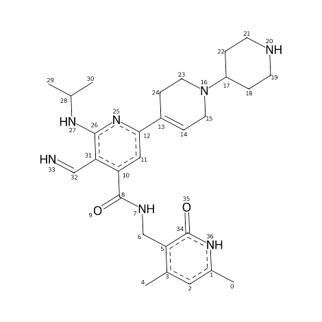 Cc1cc(C)c(CNC(=O)c2cc(C3=CCN(C4CCNCC4)CC3)nc(NC(C)C)c2C=N)c(=O)[nH]1